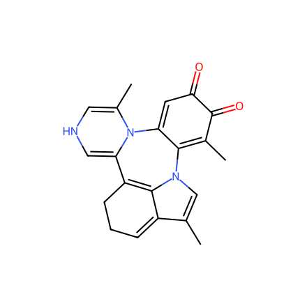 Cc1cn2c3c(c4c[nH]cc(C)n4c4cc(=O)c(=O)c(C)c42)CCC=c13